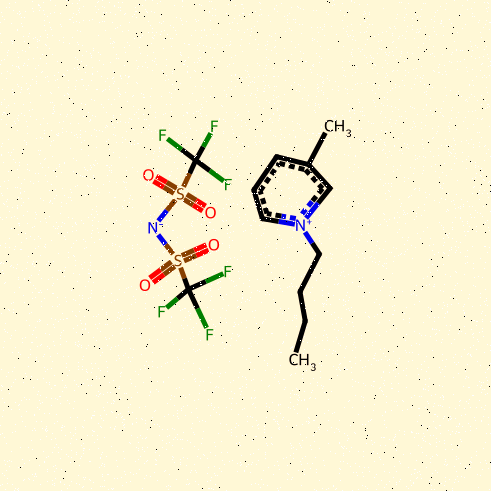 CCCC[n+]1cccc(C)c1.O=S(=O)([N-]S(=O)(=O)C(F)(F)F)C(F)(F)F